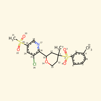 CC1(S(=O)(=O)c2cccc(C(F)(F)F)c2)CCOC(c2ncc(S(C)(=O)=O)cc2Cl)C1